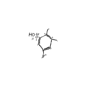 [B+2]c1ccc(C)c(C)c1.[OH-].[OH-]